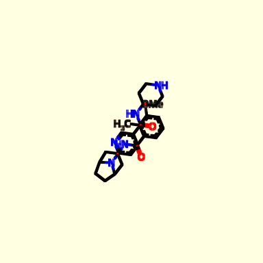 COc1cccc(C(=O)NC2CC3CCC(C2)N3c2ccc(C(=O)NC3CCNCC3)cn2)c1C